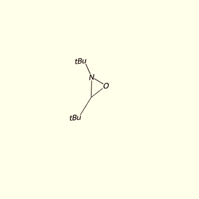 CC(C)(C)C1ON1C(C)(C)C